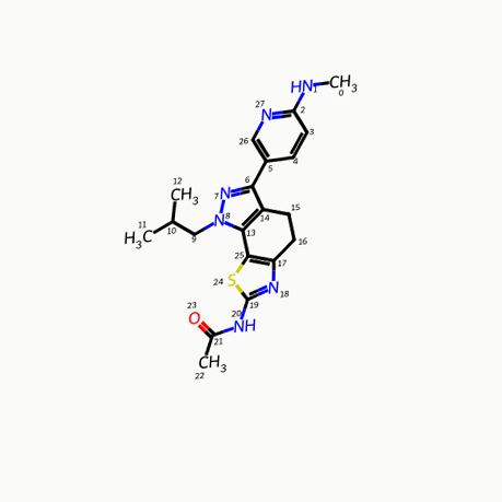 CNc1ccc(-c2nn(CC(C)C)c3c2CCc2nc(NC(C)=O)sc2-3)cn1